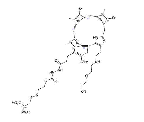 CC[C@H]1C2Cc3cc(CCNCCOCCO)c([nH]3)/C(CC(=O)OC)=C3N=C(/C=c4\[nH]/c(c(C(C)=O)c4C)=C\C(=N2)[C@@H]1C)[C@@H](C)[C@@H]\3CCCC(=O)NNC(=O)OCCSSC[C@H](NC(C)=O)C(=O)O